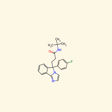 CC(C)(C)NC(=O)CCC1(c2ccc(F)cc2)c2ccccc2-c2nccn21